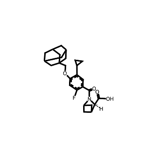 O=C(O)[C@H]1C2CC(C2)N1C(=O)c1cc(C2CC2)c(OCC23CC4CC(CC(C4)C2)C3)cc1F